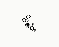 Fc1ccc(-c2noc(CCC3(c4ccccc4)CCCCC3)n2)c(F)c1